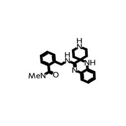 CNC(=O)c1ccccc1CNC1=Nc2ccccc2NC12CCNCC2